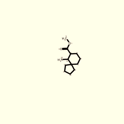 COC(=O)C1CCCC2(CCCC2)C1N